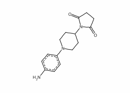 Nc1ccc(N2CCC(N3C(=O)CCC3=O)CC2)cc1